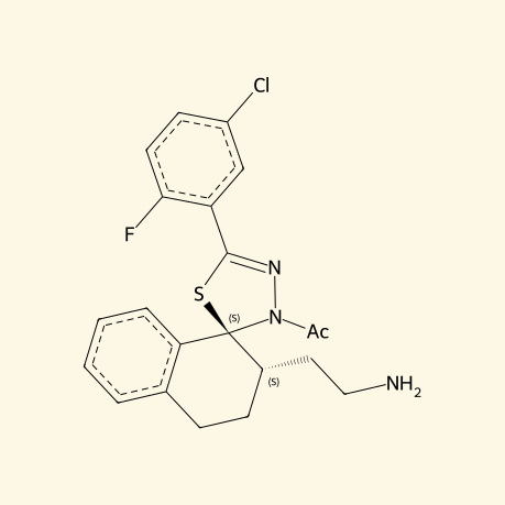 CC(=O)N1N=C(c2cc(Cl)ccc2F)S[C@@]12c1ccccc1CC[C@H]2CCN